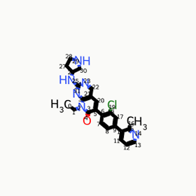 CCn1c(=O)c(-c2ccc(-c3cccnc3C)cc2Cl)cc2cnc(NC3CCNC3)nc21